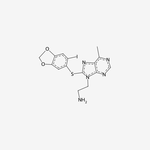 Cc1ncnc2c1nc(Sc1cc3c(cc1I)OCO3)n2CCN